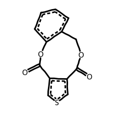 O=C1OCc2ccccc2OC(=O)c2cscc21